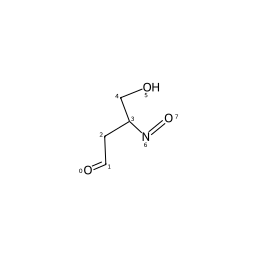 O=CCC(CO)N=O